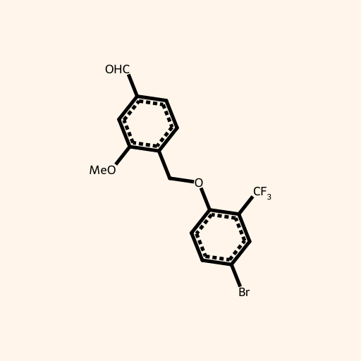 COc1cc(C=O)ccc1COc1ccc(Br)cc1C(F)(F)F